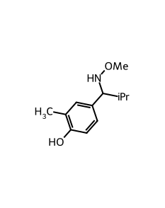 CONC(c1ccc(O)c(C)c1)C(C)C